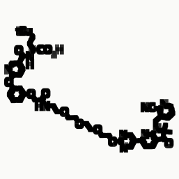 CC(C)(C)CC[C@H](NC(=O)c1ccc(Oc2cccc(OCC(=O)NCCOCCOCCOCCOc3ncc(-c4ccc5c(n4)N(Cc4cccnc4C#N)C(C)(C)C5=O)cn3)c2)nc1)C(=O)O